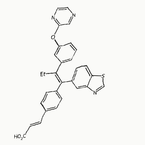 CCC(=C(c1ccc(C=CC(=O)O)cc1)c1ccc2scnc2c1)c1cccc(Oc2cnccn2)c1